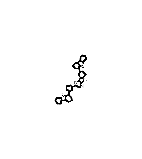 c1cc(-c2cnc3oc4ccc(-c5cccc6c5sc5ccccc56)cc4c3n2)cc(-c2cccc3c2sc2ccccc23)c1